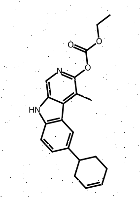 CCOC(=O)Oc1ncc2[nH]c3ccc(C4CC=CCC4)cc3c2c1C